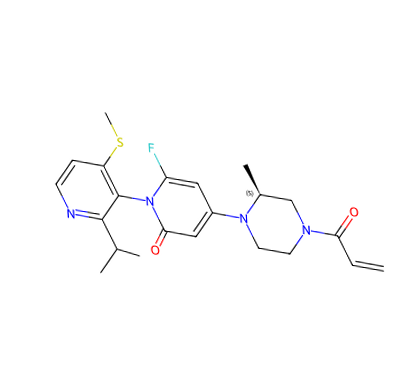 C=CC(=O)N1CCN(c2cc(F)n(-c3c(SC)ccnc3C(C)C)c(=O)c2)[C@@H](C)C1